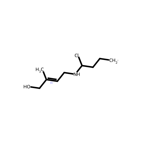 [CH2]CCC(Cl)NC/C=C(\C)CO